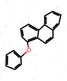 c1ccc(Oc2cccc3c2ccc2ccccc23)cc1